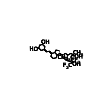 CC(C)(O)CCC[C@@H](CC#CC(O)(C(F)(F)F)C(F)(F)F)[C@H]1CCC2/C(=C/C=C3C[C@@H](O)C[C@H](O)C3)CCC[C@@]21C